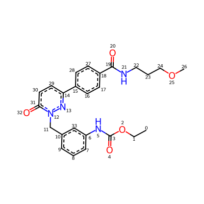 CCOC(=O)Nc1cccc(Cn2nc(-c3ccc(C(=O)NCCCOC)cc3)ccc2=O)c1